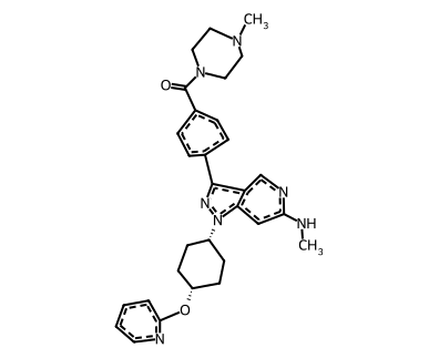 CNc1cc2c(cn1)c(-c1ccc(C(=O)N3CCN(C)CC3)cc1)nn2[C@H]1CC[C@@H](Oc2ccccn2)CC1